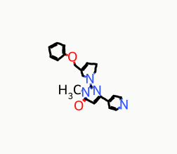 Cn1c(N2CCC=C(COc3ccccc3)C2)nc(-c2ccncc2)cc1=O